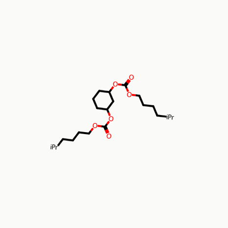 CC(C)CCCCOC(=O)OC1CCCC(OC(=O)OCCCCC(C)C)C1